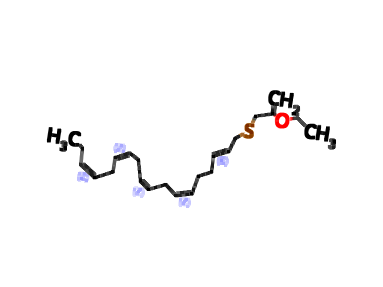 C=C(CSC/C=C/CC/C=C\C/C=C\C/C=C\C/C=C\CC)OCC